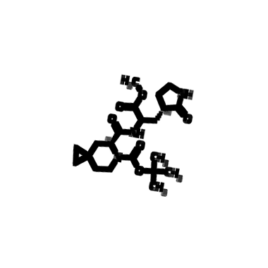 COC(=O)C(C[C@@H]1CCNC1=O)NC(=O)[C@@H]1CC2(CCN1C(=O)OC(C)(C)C)CC2